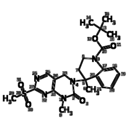 CN1C(=O)N(C2(C)CCN(C(=O)OC(C)(C)C)c3ccccc32)Cc2cnc(S(C)(=O)=O)nc21